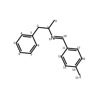 CC(Cc1ccccc1)N=Cc1ccc(I)cc1